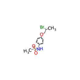 CC(Br)COc1ccc(NS(C)(=O)=O)cc1